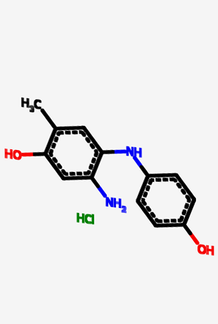 Cc1cc(Nc2ccc(O)cc2)c(N)cc1O.Cl